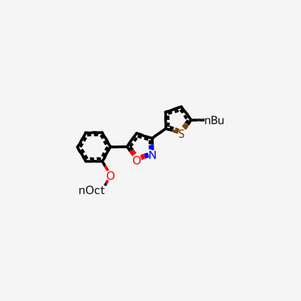 CCCCCCCCOc1ccccc1-c1cc(-c2ccc(CCCC)s2)no1